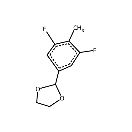 Cc1c(F)cc(C2OCCO2)cc1F